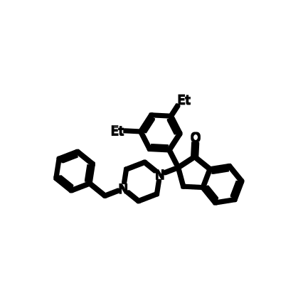 CCc1cc(CC)cc(C2(N3CCN(Cc4ccccc4)CC3)Cc3ccccc3C2=O)c1